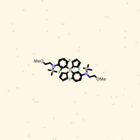 COCCN(c1ccc(F)[c]([Ti]([c]2c(F)ccc(N(CCOC)[Si](C)(C)C)c2F)([CH]2C=CC=C2)[CH]2C=CC=C2)c1F)[Si](C)(C)C